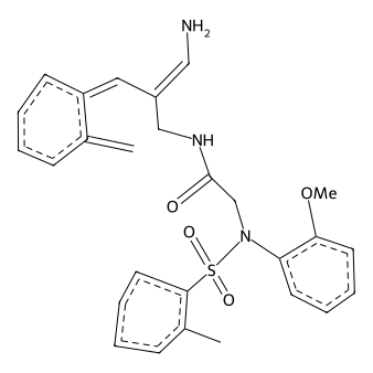 C=c1cccc/c1=C/C(=C\N)CNC(=O)CN(c1ccccc1OC)S(=O)(=O)c1ccccc1C